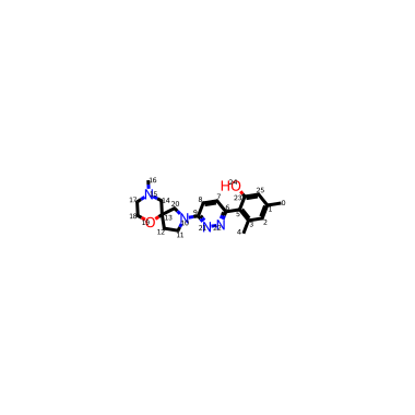 Cc1cc(C)c(-c2ccc(N3CCC4(CN(C)CCO4)C3)nn2)c(O)c1